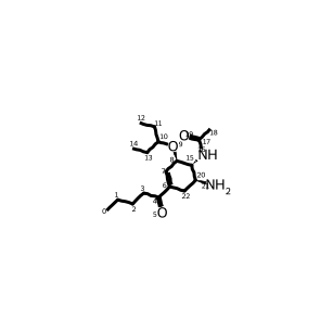 CCCCC(=O)C1=C[C@@H](OC(CC)CC)[C@H](NC(C)=O)[C@@H](N)C1